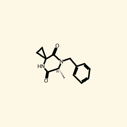 C[C@@H]1C(=O)NC2(CC2)C(=O)N1Cc1ccccc1